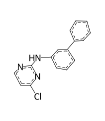 Clc1ccnc(Nc2cccc(-c3ccccc3)c2)n1